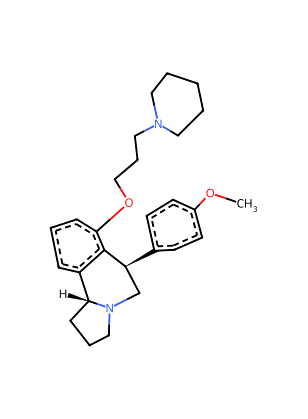 COc1ccc([C@H]2CN3CCC[C@@H]3c3cccc(OCCCN4CCCCC4)c32)cc1